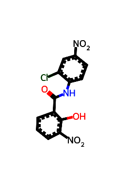 O=C(Nc1ccc([N+](=O)[O-])cc1Cl)c1cccc([N+](=O)[O-])c1O